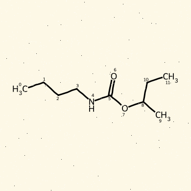 CCCCNC(=O)OC(C)CC